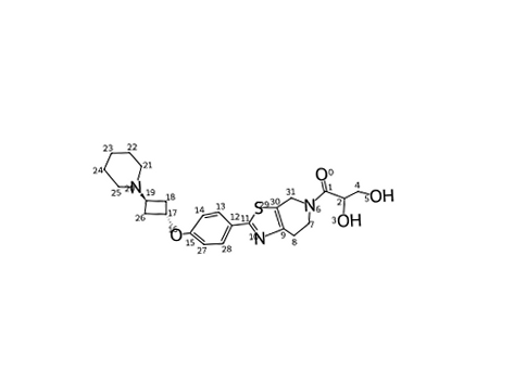 O=C(C(O)CO)N1CCc2nc(-c3ccc(O[C@H]4C[C@H](N5CCCCC5)C4)cc3)sc2C1